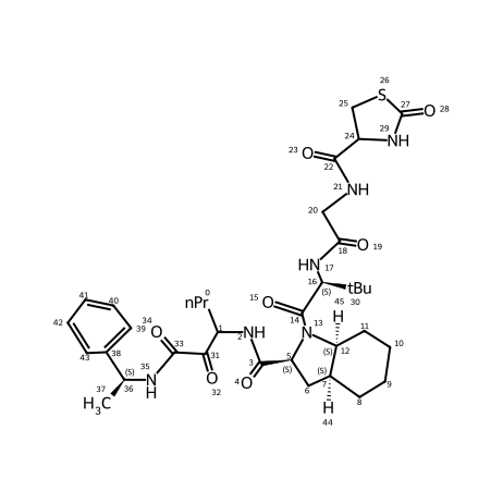 CCCC(NC(=O)[C@@H]1C[C@@H]2CCCC[C@@H]2N1C(=O)[C@@H](NC(=O)CNC(=O)C1CSC(=O)N1)C(C)(C)C)C(=O)C(=O)N[C@@H](C)c1ccccc1